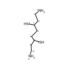 NCCC(S)CCC(S)CCN